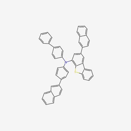 c1ccc(-c2ccc(N(c3ccc(-c4ccc5ccccc5c4)cc3)c3cc(-c4ccc5ccccc5c4)cc4c3sc3ccccc34)cc2)cc1